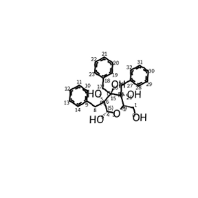 OC[C@H]1O[C@H](O)[C@@](O)(Cc2ccccc2)[C@](O)(Cc2ccccc2)[C@@]1(O)Cc1ccccc1